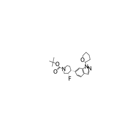 CC(C)(C)OC(=O)N1CC[C@H](c2ccc3cnn(C4CCCCO4)c3c2)[C@H](F)C1